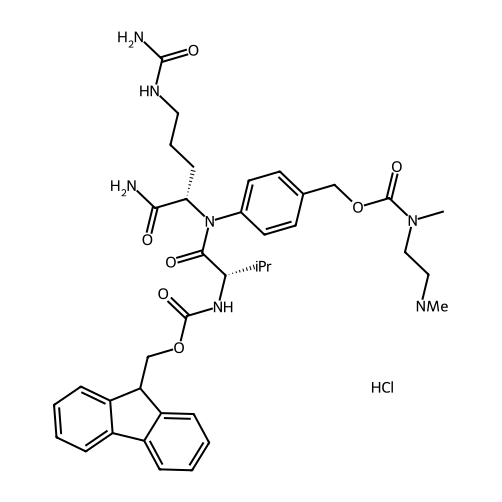 CNCCN(C)C(=O)OCc1ccc(N(C(=O)[C@@H](NC(=O)OCC2c3ccccc3-c3ccccc32)C(C)C)[C@@H](CCCNC(N)=O)C(N)=O)cc1.Cl